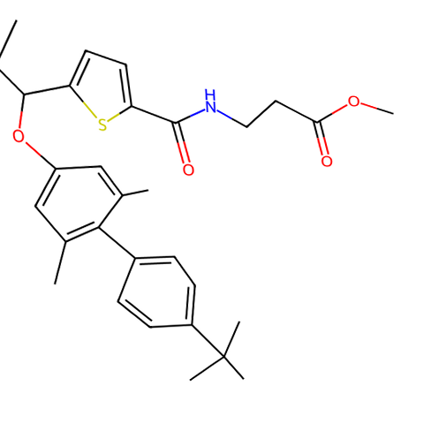 CCC(Oc1cc(C)c(-c2ccc(C(C)(C)C)cc2)c(C)c1)c1ccc(C(=O)NCCC(=O)OC)s1